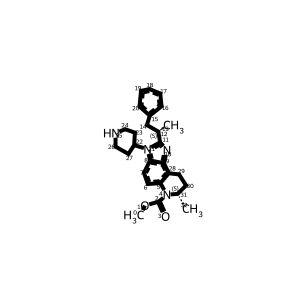 COC(=O)N1c2ccc3c(nc([C@@H](C)Cc4ccccc4)n3C3CCNCC3)c2CC[C@@H]1C